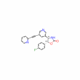 O=C1N[C@H](c2cncc(C#Cc3ccccn3)c2)[C@@H](c2ccc(F)cc2)O1